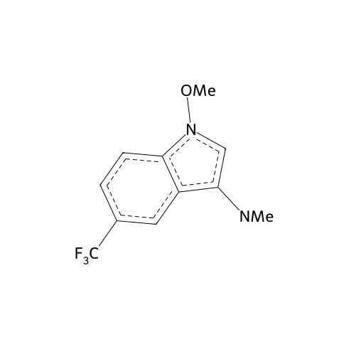 CNc1cn(OC)c2ccc(C(F)(F)F)cc12